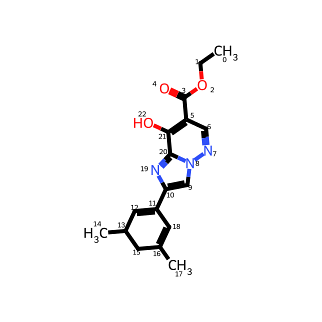 CCOC(=O)c1cnn2cc(C3=CC(C)CC(C)=C3)nc2c1O